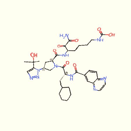 CC(C)(O)c1cnnn1[C@H]1C[C@@H](C(=O)NC(CCCCNC(=O)O)C(=O)C(N)=O)N(C(=O)[C@@H](CC2CCCCC2)NC(=O)c2ccc3nccnc3c2)C1